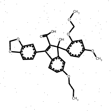 CCCOc1ccc2c(c1)C(O)(c1ccc(OC)cc1OCOC)C(C(=O)O)=C2c1ccc2c(c1)OCO2